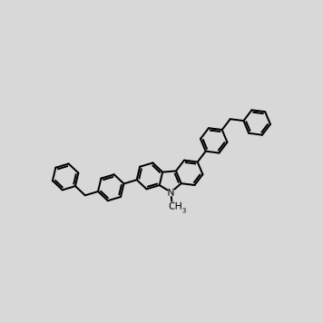 Cn1c2ccc(-c3ccc(Cc4ccccc4)cc3)cc2c2ccc(-c3ccc(Cc4ccccc4)cc3)cc21